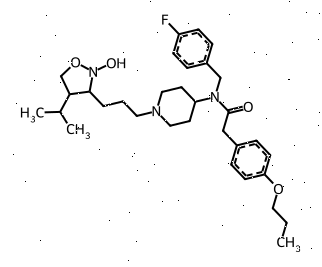 CCCOc1ccc(CC(=O)N(Cc2ccc(F)cc2)C2CCN(CCCC3C(C(C)C)CON3O)CC2)cc1